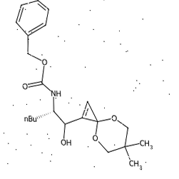 CCCC[C@H](NC(=O)OCc1ccccc1)C(O)C1=CC12OCC(C)(C)CO2